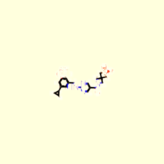 O=C(c1cnc(NCc2cc(OC(F)(F)F)cc(C3CC3)c2)nc1)N1CC2(C1)CS(=O)(=O)C2